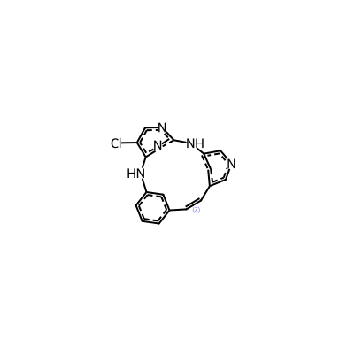 Clc1cnc2nc1Nc1cccc(c1)/C=C\c1cncc(c1)N2